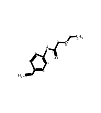 C=Cc1ccc(OC(=O)COCC)cc1